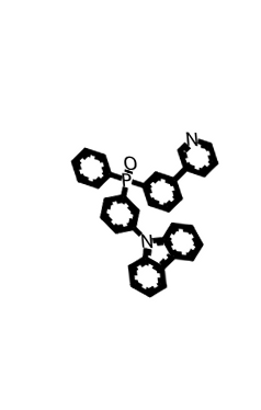 O=P(c1ccccc1)(c1cccc(-c2cccnc2)c1)c1cccc(-n2c3ccccc3c3ccccc32)c1